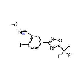 CO/N=C/c1cc(-c2noc(C(F)(F)F)n2)ccc1F